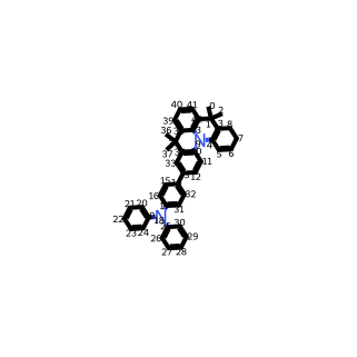 CC1(C)C2=C(C=CCC2)N2c3ccc(-c4ccc(N(c5ccccc5)c5ccccc5)cc4)cc3C(C)(C)c3cccc1c32